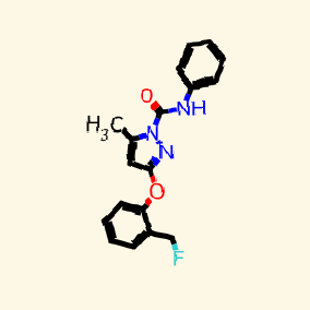 Cc1cc(Oc2ccccc2CF)nn1C(=O)Nc1ccccc1